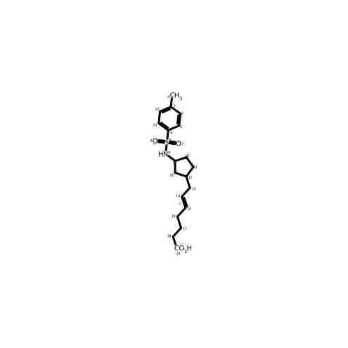 Cc1ccc(S(=O)(=O)NC2CCC(C/C=C/CCCC(=O)O)C2)cc1